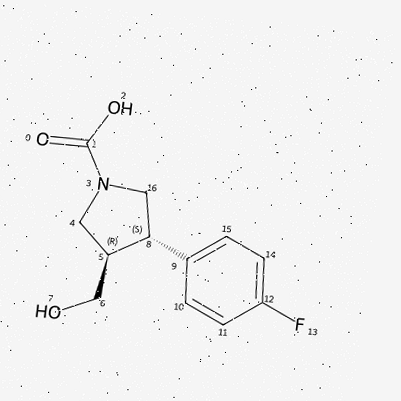 O=C(O)N1C[C@H](CO)[C@@H](c2ccc(F)cc2)C1